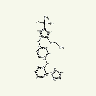 CCCc1nc(C(C)(F)F)nn1Cc1ccc(Cc2ccccc2-c2nnn[nH]2)cc1